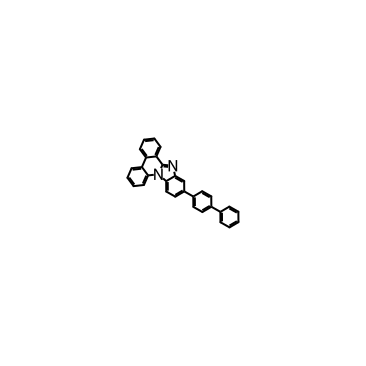 c1ccc(-c2ccc(-c3ccc4c(c3)nc3c5ccccc5c5ccccc5n43)cc2)cc1